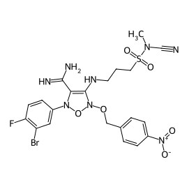 CN(C#N)S(=O)(=O)CCCNC1=C(C(=N)N)N(c2ccc(F)c(Br)c2)ON1OCc1ccc([N+](=O)[O-])cc1